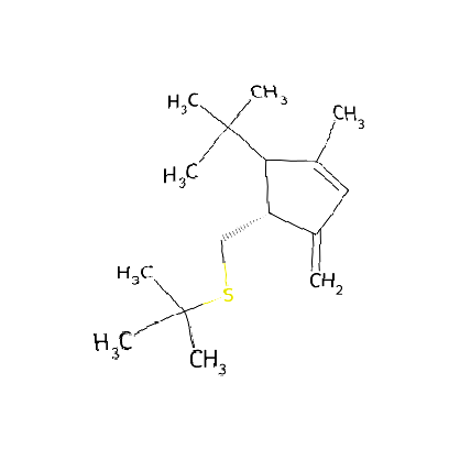 C=C1C=C(C)C(C(C)(C)C)[C@H]1CSC(C)(C)C